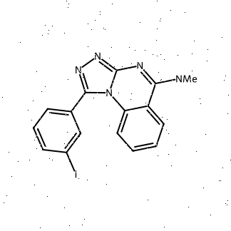 CNc1nc2nnc(-c3cccc(I)c3)n2c2ccccc12